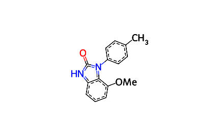 COc1cccc2[nH]c(=O)n(-c3ccc(C)cc3)c12